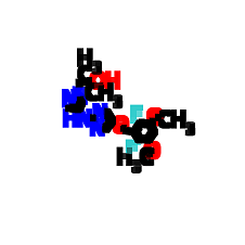 COc1cc(OC)c(F)c(COc2cnc(Nc3cnn(CC(C)(C)O)c3)nc2)c1F